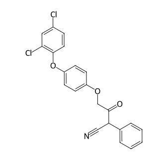 N#CC(C(=O)COc1ccc(Oc2ccc(Cl)cc2Cl)cc1)c1ccccc1